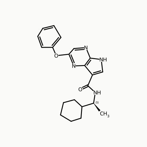 C[C@H](NC(=O)c1c[nH]c2ncc(Oc3ccccc3)nc12)C1CCCCC1